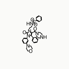 O=C(c1c(-c2ccccc2)n(-c2cccc(N3CCOCC3)c2)c(=O)n1CCNS(=O)(=O)c1ccccc1)N1CCNCC1